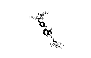 CC(C)(C)OC(=O)N[C@@H](Cc1ccc(Oc2ccnc3c2c(Br)cn3COCCS(C)(C)C)cc1)C(=O)O